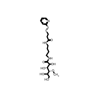 CO[C@H](C(O)CO)[C@H](O)C(O)C(=O)NCCCCNC(=O)CCSSc1ccccn1